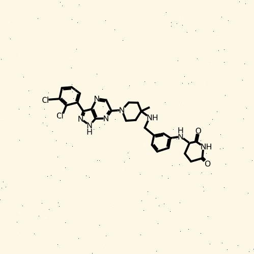 CC1(NCc2cccc(NC3CCC(=O)NC3=O)c2)CCN(c2cnc3c(-c4cccc(Cl)c4Cl)n[nH]c3n2)CC1